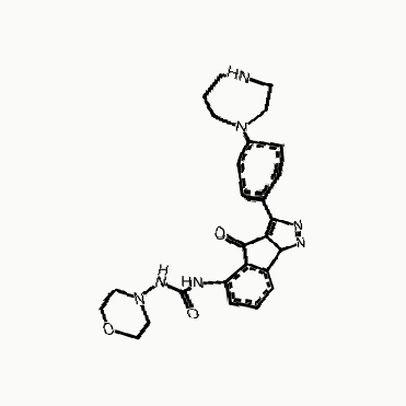 O=C(Nc1cccc2c1C(=O)C1=C(c3ccc(N4CCCNCC4)cc3)N=NC12)NN1CCOCC1